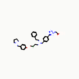 Cl.O=C(O)Cn1nnc(-c2ccc(CN(CCCCOc3ccc(CN4CCCC4)cc3)CCc3ccccc3)cc2)n1